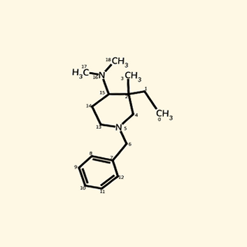 CCC1(C)CN(Cc2ccccc2)CCC1N(C)C